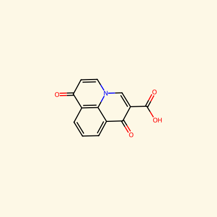 O=C(O)c1cn2ccc(=O)c3cccc(c1=O)c32